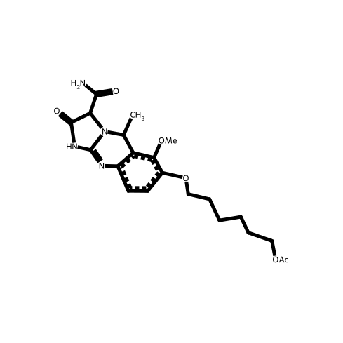 COc1c(OCCCCCCOC(C)=O)ccc2c1C(C)N1C(=N2)NC(=O)C1C(N)=O